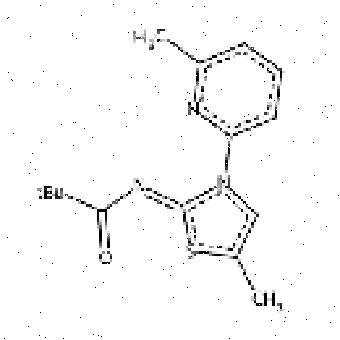 Cc1cccc(-n2cc(C)s/c2=N\C(=O)C(C)(C)C)n1